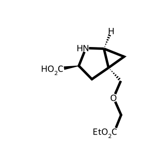 CCOC(=O)COC[C@]12C[C@@H](C(=O)O)N[C@H]1C2